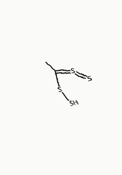 CC(SS)=S=S